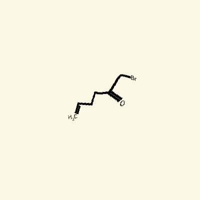 C=CCCC(=O)CBr